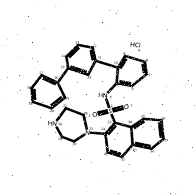 Cl.O=S(=O)(Nc1ccccc1-c1cccc(-c2ccccc2)c1)c1c(N2CCNCC2)ccc2ccccc12